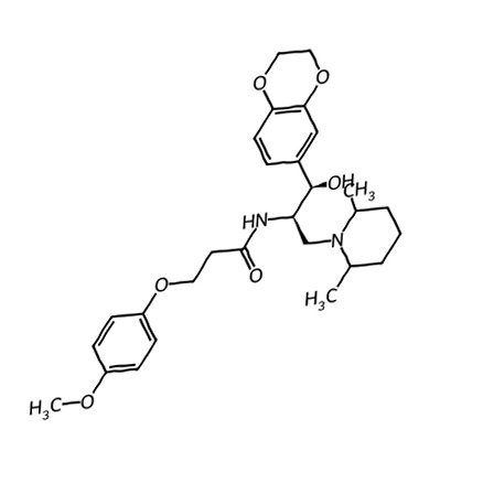 COc1ccc(OCCC(=O)N[C@H](CN2C(C)CCCC2C)[C@H](O)c2ccc3c(c2)OCCO3)cc1